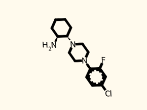 N[C@H]1CCCC[C@@H]1N1CCN(c2ccc(Cl)cc2F)CC1